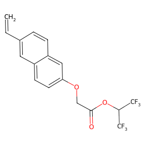 C=Cc1ccc2cc(OCC(=O)OC(C(F)(F)F)C(F)(F)F)ccc2c1